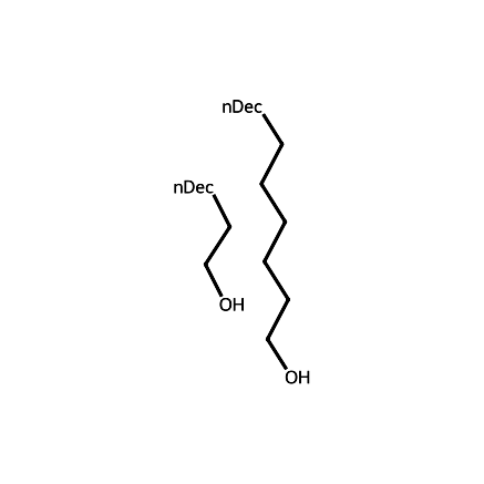 CCCCCCCCCCCCCCCCO.CCCCCCCCCCCCO